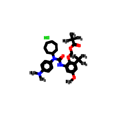 COc1cc(NC(=O)N(c2ccc(N(C)C)cc2)C2CCCCCC2)c(OCOC(=O)C(C)(C)C)c(C(C)(C)C)c1.Cl